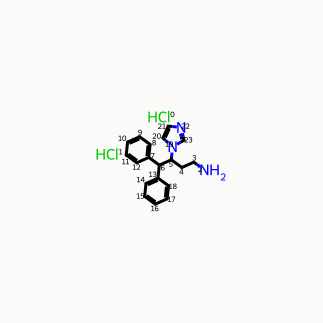 Cl.Cl.NCCC(C(c1ccccc1)c1ccccc1)n1ccnc1